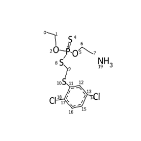 CCOP(=S)(OCC)SCSc1cc(Cl)ccc1Cl.N